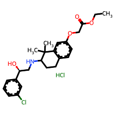 CCOC(=O)COc1ccc2c(c1)C(C)(C)C(NC[C@H](O)c1cccc(Cl)c1)CC2.Cl